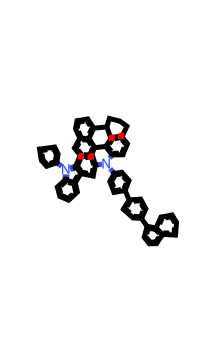 c1ccc(-n2c3ccccc3c3cc(N(c4ccc(-c5ccc(-c6cccc7ccccc67)cc5)cc4)c4ccccc4-c4cccc5cccc(C6CCCCC6)c45)ccc32)cc1